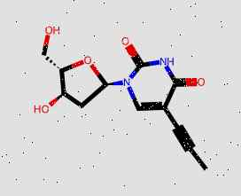 CC#Cc1cn([C@H]2C[C@@H](O)[C@H](CO)O2)c(=O)[nH]c1=O